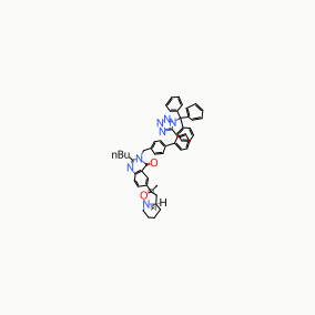 CCCCc1nc2ccc([C@]3(C)C[C@H]4CCCCN4O3)cc2c(=O)n1Cc1ccc(-c2ccccc2-c2nnnn2C(c2ccccc2)(c2ccccc2)c2ccccc2)cc1